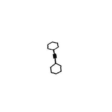 C(#CC1CCCCC1)C1CCCCC1